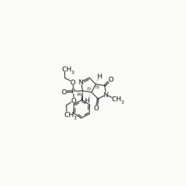 CCOP(=O)(OCC)[C@]1(c2ccccc2)N=C[C@H]2C(=O)N(C)C(=O)[C@H]21